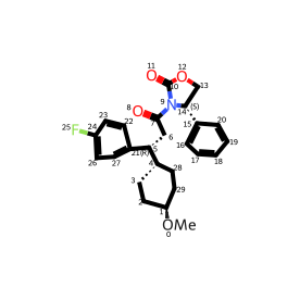 CO[C@H]1CC[C@H]([C@@H](CC(=O)N2C(=O)OC[C@@H]2c2ccccc2)c2ccc(F)cc2)CC1